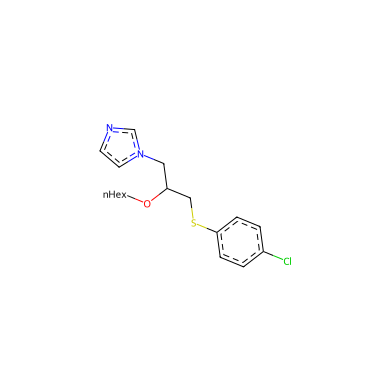 CCCCCCOC(CSc1ccc(Cl)cc1)Cn1ccnc1